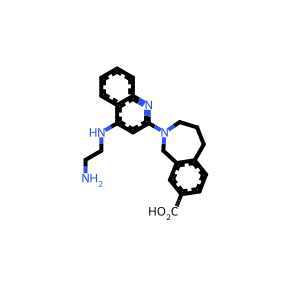 NCCNc1cc(N2CCCc3ccc(C(=O)O)cc3C2)nc2ccccc12